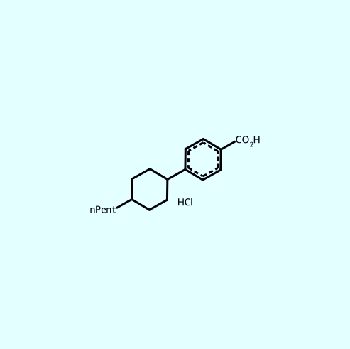 CCCCCC1CCC(c2ccc(C(=O)O)cc2)CC1.Cl